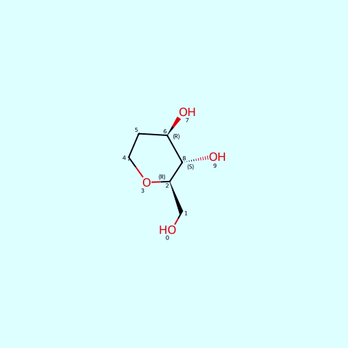 OC[C@H]1O[CH]C[C@@H](O)[C@@H]1O